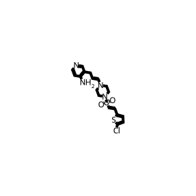 Nc1ccncc1CC=CN1CCN(S(=O)(=O)C=Cc2ccc(Cl)s2)CC1